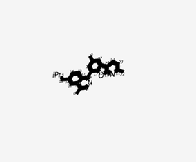 Cc1cc(-c2ncc(C)c3cc(CC(C)C)ccc23)c2oc3nc(C)ccc3c2c1